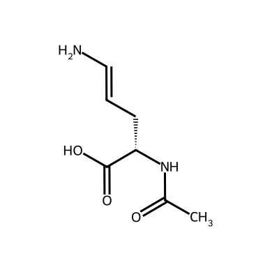 CC(=O)N[C@@H](CC=CN)C(=O)O